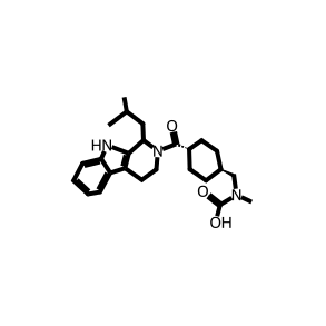 CC(C)CC1c2[nH]c3ccccc3c2CCN1C(=O)[C@H]1CC[C@H](CN(C)C(=O)O)CC1